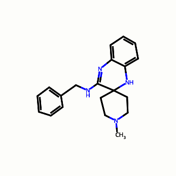 CN1CCC2(CC1)Nc1ccccc1N=C2NCc1ccccc1